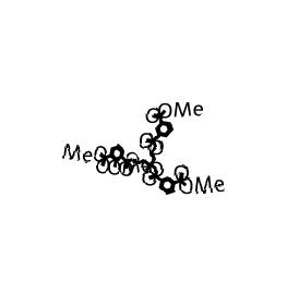 COC(=O)c1cccc(C(=O)OCCC(C)(CCOC(=O)c2cccc(C(=O)OC)c2OC)OC(=O)c2cccc(C(=O)OC)c2)c1